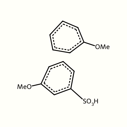 COc1cccc(S(=O)(=O)O)c1.COc1ccccc1